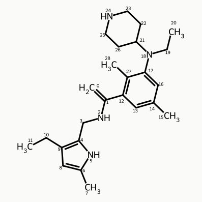 C=C(NCc1[nH]c(C)cc1CC)c1cc(C)cc(N(CC)C2CCNCC2)c1C